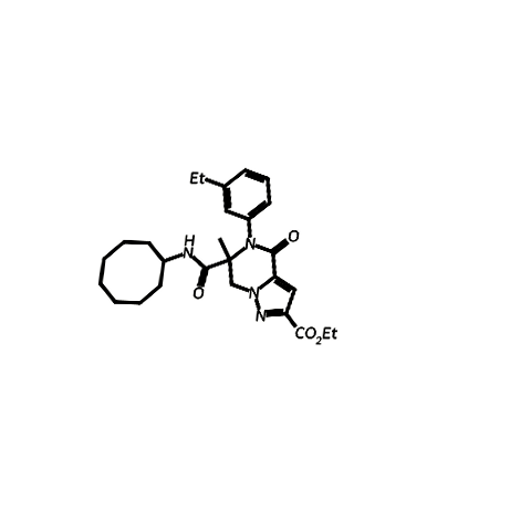 CCOC(=O)c1cc2n(n1)CC(C)(C(=O)NC1CCCCCCC1)N(c1cccc(CC)c1)C2=O